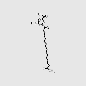 CC(=O)CCCCCCCCCCCCCCC(=O)N(CCC(C)=O)CC(=O)O